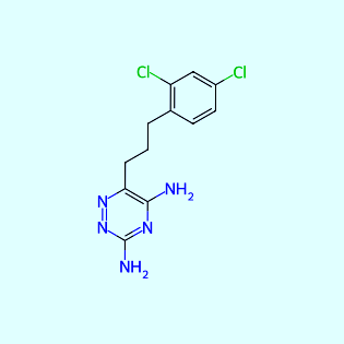 Nc1nnc(CCCc2ccc(Cl)cc2Cl)c(N)n1